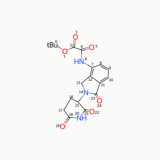 CC(C)(C)OC(=O)C(=O)Nc1cccc2c1CN(C1CCC(=O)NC1=O)C2=O